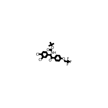 CC(C)(C)OC(=O)NC(C(=O)c1ccc(OCC(F)(F)F)cc1)c1ccc(Cl)c(Cl)c1